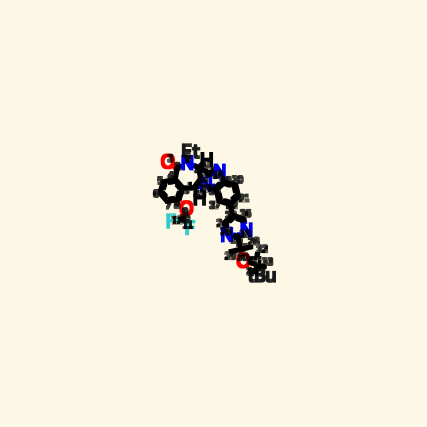 CCN1C(=O)c2cccc(OC(F)F)c2[C@H]2C[C@@H]1c1nc3ccc(-c4cnc(C(C)(C)O[Si](C)(C)C(C)(C)C)nc4)cc3n12